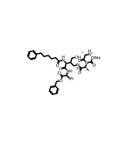 COC(=O)N(C(=O)[C@H](C)N)[C@@H](C)C(=O)NCC(CO)C(NC(=O)CCCCCc1ccccc1)C(=O)NC(C(=O)OCc1ccccc1)C(C)C